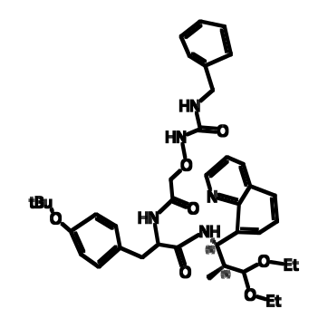 CCOC(OCC)[C@@H](C)[C@H](NC(=O)C(Cc1ccc(OC(C)(C)C)cc1)NC(=O)CONC(=O)NCc1ccccc1)c1cccc2cccnc12